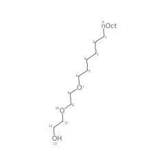 [CH2]CCCCCCCCCCCCCOCCOCCO